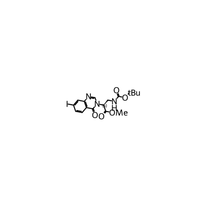 COC(=O)[C@H](CNC(=O)OC(C)(C)C)n1cnc2cc(I)ccc2c1=O